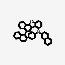 c1ccc(N(c2ccc3ccccc3c2)c2cccc3oc4c5ccccc5c(-c5cccc6ccccc56)cc4c23)cc1